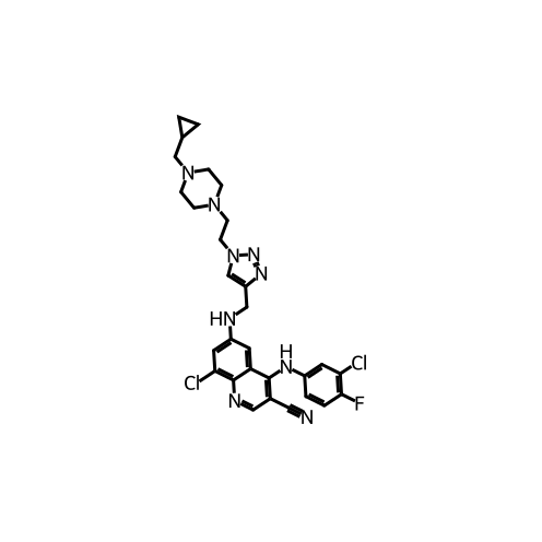 N#Cc1cnc2c(Cl)cc(NCc3cn(CCN4CCN(CC5CC5)CC4)nn3)cc2c1Nc1ccc(F)c(Cl)c1